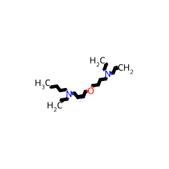 C=CCN(CC=C)CCCCOC/C=C\CN(CC=C)CCCCC